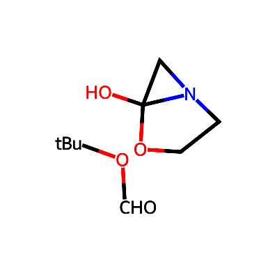 CC(C)(C)OC=O.OC12CN1CCO2